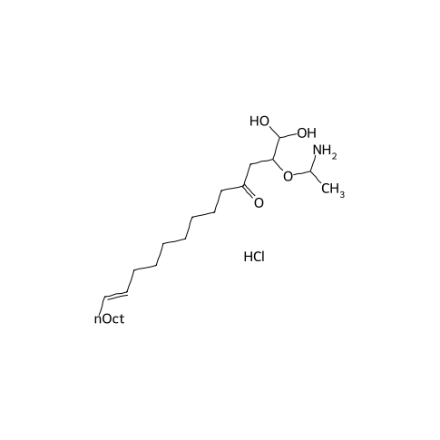 CCCCCCCCC=CCCCCCCCC(=O)CC(OC(C)N)C(O)O.Cl